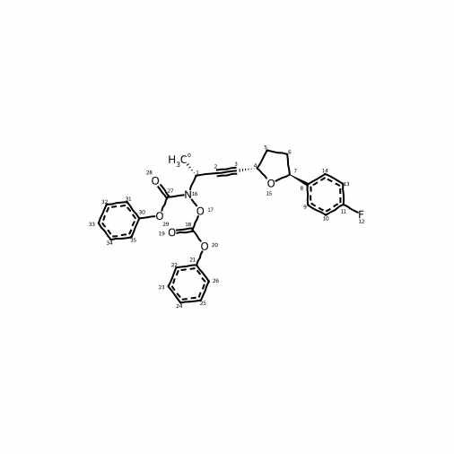 C[C@H](C#C[C@@H]1CC[C@@H](c2ccc(F)cc2)O1)N(OC(=O)Oc1ccccc1)C(=O)Oc1ccccc1